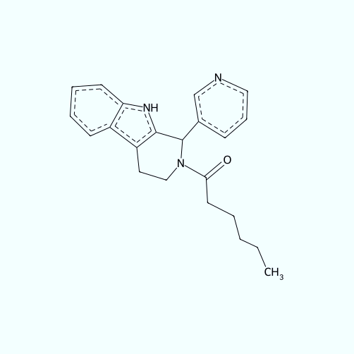 CCCCCC(=O)N1CCc2c([nH]c3ccccc23)C1c1cccnc1